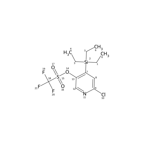 CC[Si](CC)(CC)c1cc(Cl)ncc1OS(=O)(=O)C(F)(F)F